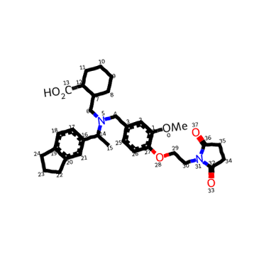 COc1cc(CN(CC2CCCCC2C(=O)O)C(C)c2ccc3c(c2)CCC3)ccc1OCCN1C(=O)CCC1=O